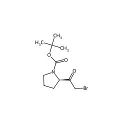 CC(C)(C)OC(=O)N1CCC[C@@H]1C(=O)CBr